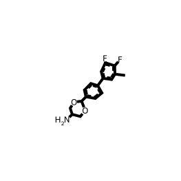 Cc1cc(-c2ccc(C3OCC(N)CO3)cc2)cc(F)c1F